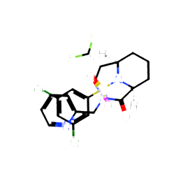 O=C1[C@@H]2CCC[C@H]([C@@H](C(F)F)CN1Cc1ccccn1)N2S(=O)(=O)c1cc(Cl)cc(Cl)c1